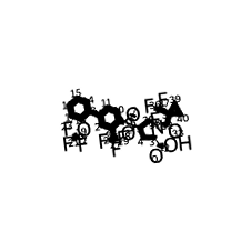 O=C(O)[C@@H]1C[C@@H](S(=O)(=O)c2ccc(-c3ccccc3OC(F)(F)F)cc2C(F)(F)F)CN1C(=O)C1(C(F)(F)F)CC1